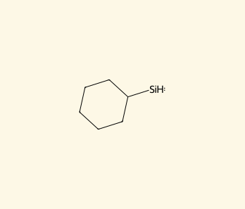 [SiH]C1CCCCC1